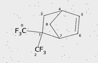 FC(F)(F)C1(C(F)(F)F)CC2C=CC1C2